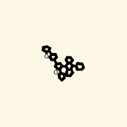 c1ccc(-c2c3ccccc3c(-c3cc(-c4ccc5c(c4)oc4ccccc45)cc4oc5ccccc5c34)c3ccccc23)cc1